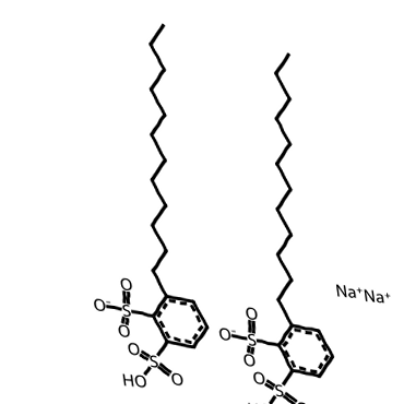 CCCCCCCCCCCCc1cccc(S(=O)(=O)O)c1S(=O)(=O)[O-].CCCCCCCCCCCCc1cccc(S(=O)(=O)O)c1S(=O)(=O)[O-].[Na+].[Na+]